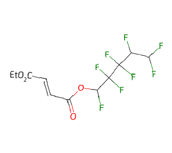 CCOC(=O)C=CC(=O)OC(F)C(F)(F)C(F)(F)C(F)C(F)F